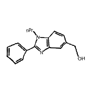 CCCn1c(-c2ccccc2)nc2cc(CO)ccc21